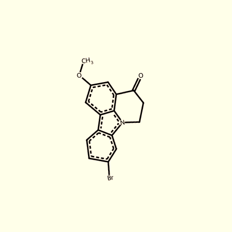 COc1cc2c3c(c1)c1ccc(Br)cc1n3CCC2=O